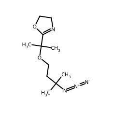 CC(C)(CCOC(C)(C)C1=NCCO1)N=[N+]=[N-]